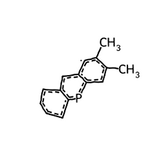 Cc1[c]c2cc3ccccc3pc2cc1C